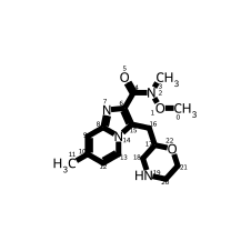 CON(C)C(=O)c1nc2cc(C)ccn2c1CC1CNCCO1